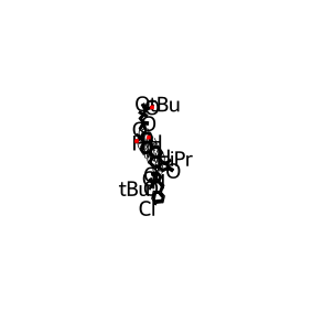 CC(C)C1=C2[C@H]3CC[C@@H]4[C@@]5(C)CC[C@H](OC(=O)CC(C)(C)C(=O)OC(C)(C)C)C(C)(C)[C@H]5CC[C@@]4(C)[C@]3(C)CC[C@@]2(C(=O)CN(Cc2ccc(Cl)cc2)C(=O)OC(C)(C)C)CC1=O